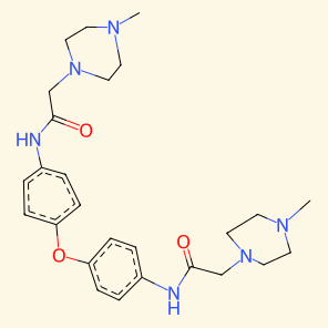 CN1CCN(CC(=O)Nc2ccc(Oc3ccc(NC(=O)CN4CCN(C)CC4)cc3)cc2)CC1